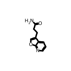 NC(=O)CCc1coc2ncccc12